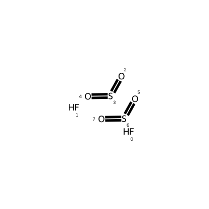 F.F.O=S=O.O=S=O